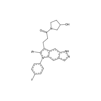 CC(C)c1c(CCC(=O)N2CCC(O)C2)c2cc3[nH]ncc3cc2n1-c1ccc(F)cc1